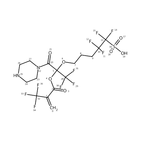 C=C(C(=O)OC(OCCCC(F)(F)C(F)(F)S(=O)(=O)O)(C(=O)N1CCNCC1)C(F)(F)F)C(F)(F)F